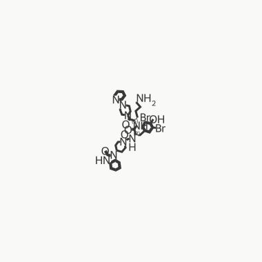 NCCCC[C@H](NC(=O)[C@@H](Cc1cc(Br)c(O)c(Br)c1)NC(=O)N1CCC(n2c(=O)[nH]c3ccccc32)CC1)C(=O)N1CCN(c2ccccn2)CC1